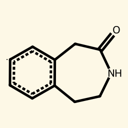 O=C1Cc2c[c]ccc2CCN1